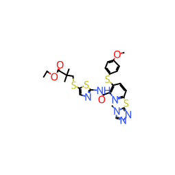 CCOC(=O)C(C)(C)CSc1cnc(NC(=O)c2nc(Sc3nncn3C)ccc2Sc2ccc(OC)cc2)s1